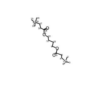 C[Si](C)(C)CCC(=O)OCCCCOC(=O)CC[Si](C)(C)C